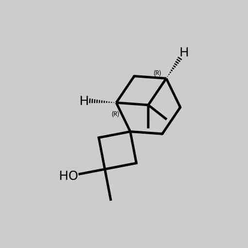 CC1(O)CC2(CC[C@@H]3C[C@H]2C3(C)C)C1